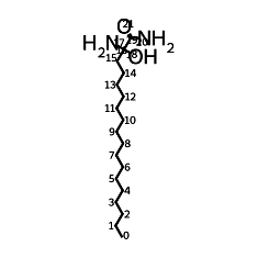 CCCCCCCCCCCCCCCCC(N)(O)C(N)=O